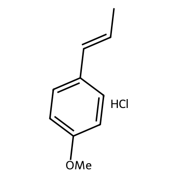 CC=Cc1ccc(OC)cc1.Cl